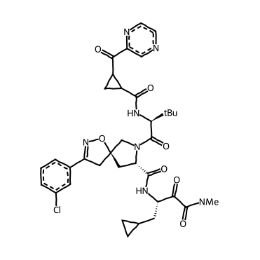 CNC(=O)C(=O)[C@H](CC1CC1)NC(=O)[C@@H]1C[C@]2(CC(c3cccc(Cl)c3)=NO2)CN1C(=O)[C@@H](NC(=O)C1CC1C(=O)c1cnccn1)C(C)(C)C